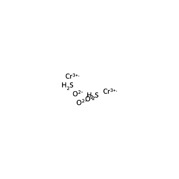 S.S.[Cr+3].[Cr+3].[O-2].[O-2].[O-2]